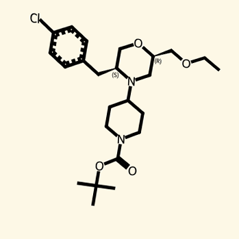 CCOC[C@H]1CN(C2CCN(C(=O)OC(C)(C)C)CC2)[C@@H](Cc2ccc(Cl)cc2)CO1